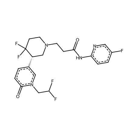 O=C(CCN1CCC(F)(F)[C@@H](c2ccc(=O)n(CC(F)F)c2)C1)Nc1ccc(F)cn1